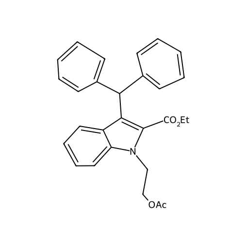 CCOC(=O)c1c(C(c2ccccc2)c2ccccc2)c2ccccc2n1CCOC(C)=O